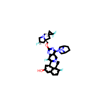 C#Cc1c(F)ccc2cc(O)cc(-c3ncc4c(N5CC6CCC(C5)N6)nc(OC[C@@]56C[C@@H](F)CN5C[C@@]5(CC5(F)F)C6)nc4c3F)c12